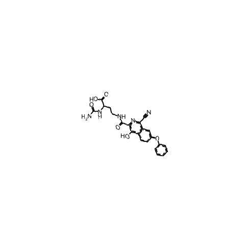 N#Cc1nc(C(=O)NCCC(NC(N)=O)C(=O)O)c(O)c2ccc(Oc3ccccc3)cc12